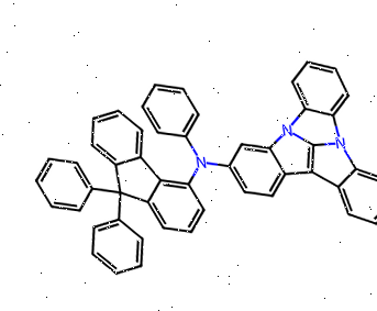 c1ccc(N(c2ccc3c4c5ccccc5n5c6ccccc6n(c3c2)c45)c2cccc3c2-c2ccccc2C3(c2ccccc2)c2ccccc2)cc1